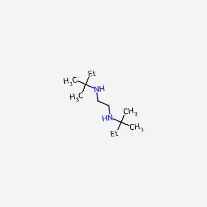 CCC(C)(C)NCCNC(C)(C)CC